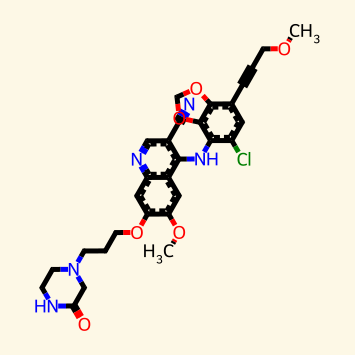 COCC#Cc1cc(Cl)c(Nc2c(C#N)cnc3cc(OCCCN4CCNC(=O)C4)c(OC)cc23)c2c1OCO2